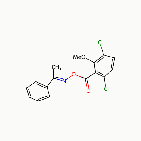 COc1c(Cl)ccc(Cl)c1C(=O)O/N=C(\C)c1ccccc1